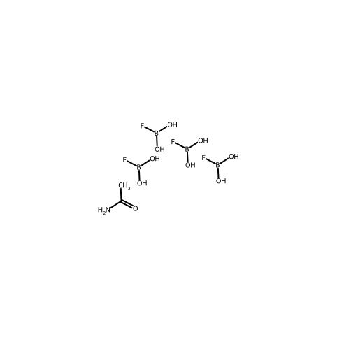 CC(N)=O.OB(O)F.OB(O)F.OB(O)F.OB(O)F